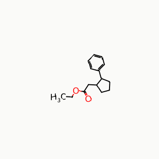 CCOC(=O)CC1CCCC1c1ccccc1